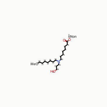 CCCCCCCCCOC(=O)CCCCCCCN(CCCO)CCCCCCCOC